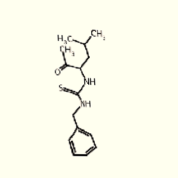 CC(=O)C(CC(C)C)NC(=S)NCc1ccccc1